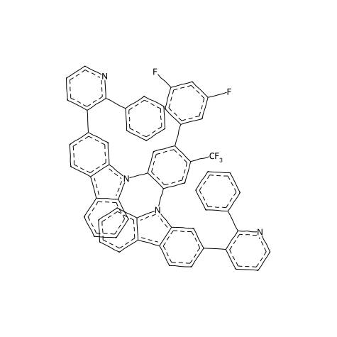 Fc1cc(F)cc(-c2cc(-n3c4ccccc4c4ccc(-c5cccnc5-c5ccccc5)cc43)c(-n3c4ccccc4c4ccc(-c5cccnc5-c5ccccc5)cc43)cc2C(F)(F)F)c1